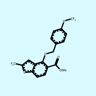 COC(=O)c1ccc2sc(C(F)(F)F)cc2c1OCc1ccc(OC(F)(F)F)cc1